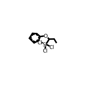 CCC(Oc1ccccc1)[Si](Cl)(Cl)Cl